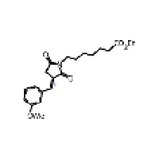 CCOC(=O)CCCCCCN1C(=O)C/C(=C\c2cccc(OC)c2)C1=O